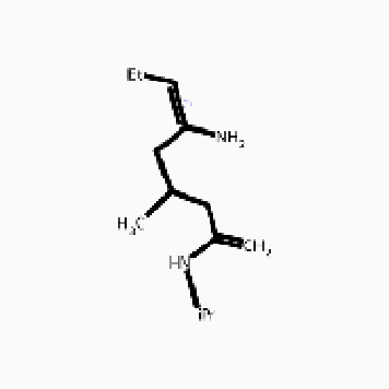 C=C(CC(C)C/C(N)=C\CC)NC(C)C